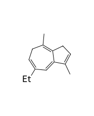 CCC1=CCC(C)=C2CC=C(C)C2=C1